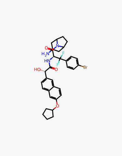 NC1CC2CCC(C1)N2C(=O)[C@H](NC(=O)[C@@H](O)c1ccc2cc(OC3CCCC3)ccc2c1)C(F)(F)c1ccc(Br)cc1